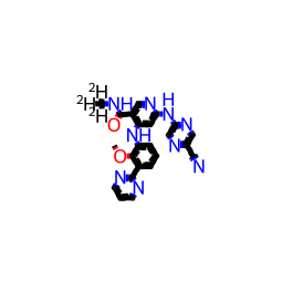 [2H]C([2H])([2H])NC(=O)c1cnc(Nc2cnc(C#N)cn2)cc1Nc1cccc(-c2ncccn2)c1OC